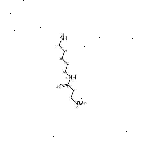 CNCCC(=O)NCCCCCS